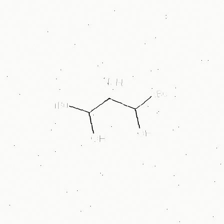 CC(C)(C)C(O)CC(O)C(C)(C)C.[NaH]